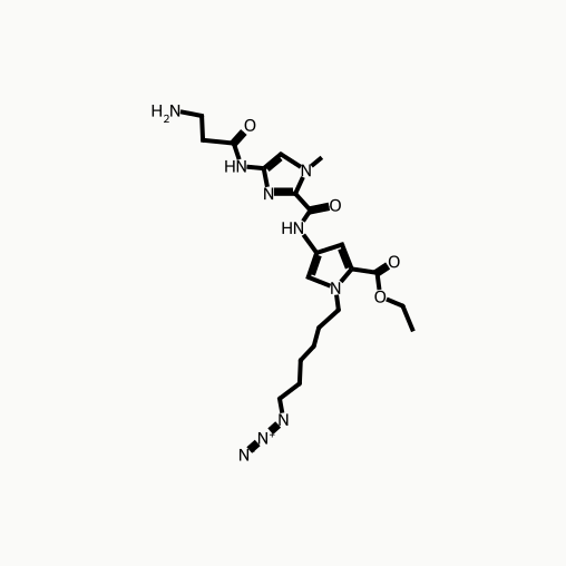 CCOC(=O)c1cc(NC(=O)c2nc(NC(=O)CCN)cn2C)cn1CCCCCCN=[N+]=[N-]